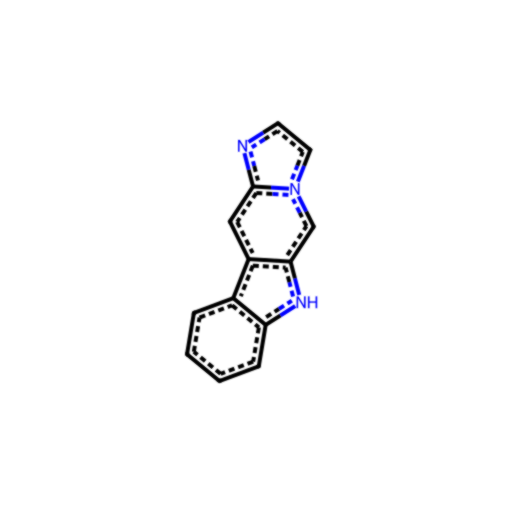 c1ccc2c(c1)[nH]c1cn3ccnc3cc12